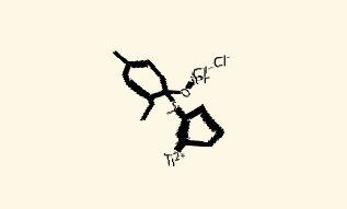 CC1=CCC(OC(C)C)(SC2=[C]([Ti+2])CC=C2)C(C)=C1.[Cl-].[Cl-]